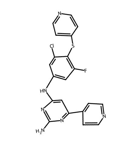 Nc1nc(Nc2cc(F)c(Sc3ccncc3)c(Cl)c2)cc(-c2ccncc2)n1